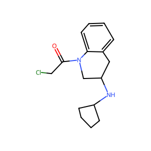 O=C(CCl)N1CC(NC2CCCC2)Cc2ccccc21